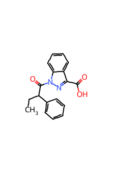 CCC(C(=O)n1nc(C(=O)O)c2ccccc21)c1ccccc1